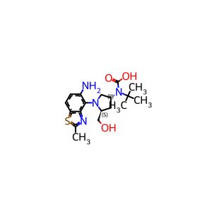 Cc1nc2c(N3C[C@H](N(C(=O)O)C(C)(C)C)C[C@H]3CO)c(N)ccc2s1